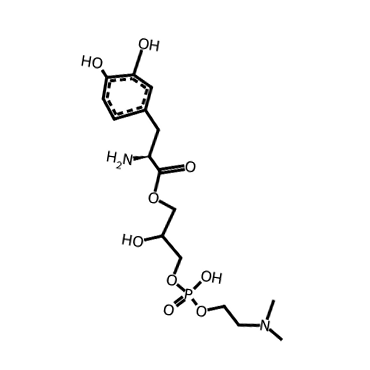 CN(C)CCOP(=O)(O)OCC(O)COC(=O)[C@@H](N)Cc1ccc(O)c(O)c1